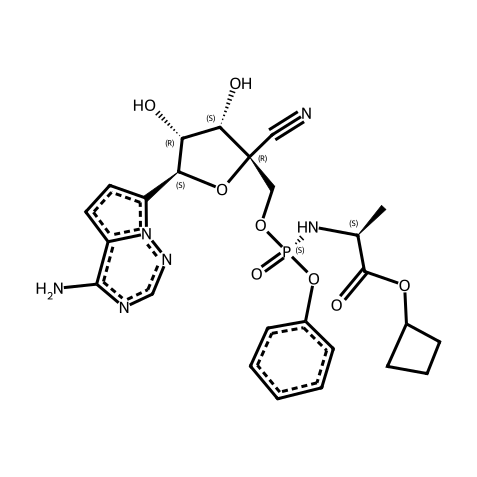 C[C@H](N[P@](=O)(OC[C@@]1(C#N)O[C@@H](c2ccc3c(N)ncnn23)[C@H](O)[C@@H]1O)Oc1ccccc1)C(=O)OC1CCC1